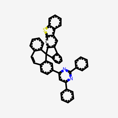 C1=Cc2ccc(-c3cc(-c4ccccc4)nc(-c4ccccc4)n3)cc2C2(c3ccccc31)c1ccccc1-c1cc3c(cc12)sc1ccccc13